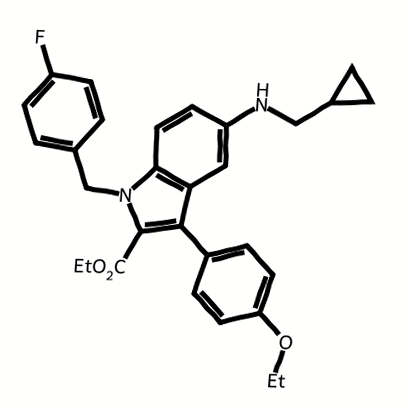 CCOC(=O)c1c(-c2ccc(OCC)cc2)c2cc(NCC3CC3)ccc2n1Cc1ccc(F)cc1